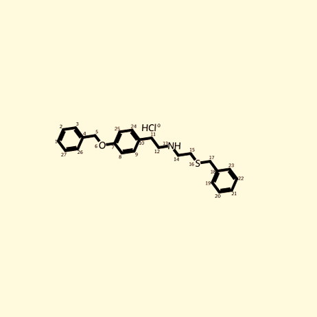 Cl.c1ccc(COc2ccc(CCNCCSCc3ccccc3)cc2)cc1